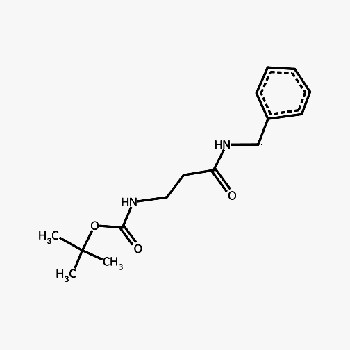 CC(C)(C)OC(=O)NCCC(=O)N[CH]c1ccccc1